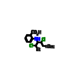 CCCCCCCCCCCC(Cl)C(Nc1ccccc1C(=O)O)C(Cl)CC